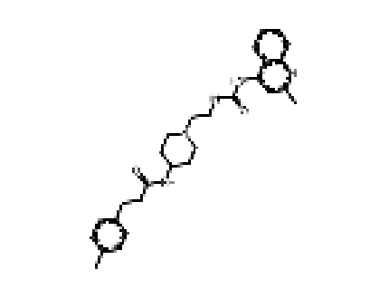 Cc1ccc(CCC(=O)NC2CCN(CCNC(=O)Nc3cc(C)nc4ccccc34)CC2)cc1